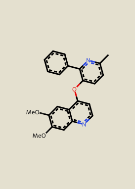 COc1cc2nccc(Oc3ccc(C)nc3-c3ccccc3)c2cc1OC